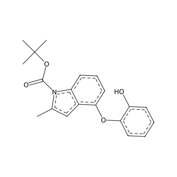 Cc1cc2c(Oc3ccccc3O)cccc2n1C(=O)OC(C)(C)C